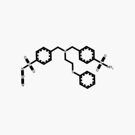 [N-]=[N+]=NS(=O)(=O)c1ccc(CN(CCSc2ccccc2)Cc2ccc(S(N)(=O)=O)cc2)cc1